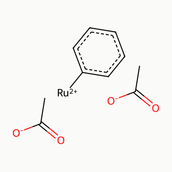 CC(=O)[O-].CC(=O)[O-].[Ru+2][c]1ccccc1